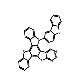 c1ccc2c(c1)sc1ccc(-n3c4ccccc4c4c5sc6ccccc6c5c5sc6ncncc6c5c43)cc12